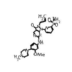 C=CCn1c(=O)c2cnc(Nc3ccc(N4CCN(C)CC4)c(OC)c3)nc2n1-c1cccc(S(N)(=O)=O)n1